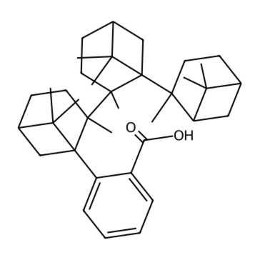 CC1(C)C2CCC(C)(C34CC(CCC3(C)C3(C)CCC5CC3(c3ccccc3C(=O)O)C5(C)C)C4(C)C)C1C2